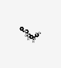 COc1ccc(-c2n[nH]c3cc4c(cc23)CN([C@@H]2CCCN(Cc3ccccc3)C2)C(=O)N4)cn1